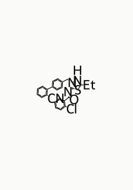 CCC1NN(Cc2ccc(-c3ccccc3C#N)cc2)C(=NC(=O)c2ccccc2Cl)S1